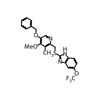 COc1c(OCc2ccccc2)cnc(CSc2nc3cc(OC(F)(F)F)ccc3[nH]2)c1C